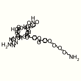 NCCCOCCOCCOCCOc1ccc(C(=O)Oc2ccc(CSP3(=O)OC[C@H]4O[C@@H](n5cnc6c(N)ncnc65)C[C@@H]4OP(=O)(O)OC[C@H]4O[C@@H](n5ccc(=O)[nH]c5=O)C[C@@H]4O3)cc2)cc1